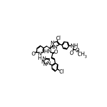 COC(=O)Nc1ccc(-c2[nH]c([C@H](Cc3ccc(=O)[nH]c3)NC(=O)C=Cc3cc(Cl)ccc3-n3cnnn3)nc2Cl)cc1